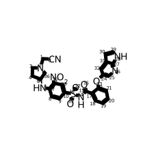 N#CCN1CC[C@@H](Nc2ccc(S(=O)(=O)NC(=O)c3ccccc3Oc3cnc4[nH]ccc4c3)cc2[N+](=O)[O-])C1